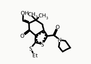 CCSc1sc(C(=O)N2CCCC2)c2c1C(=O)/C(=C/O)C(C)(C)C2